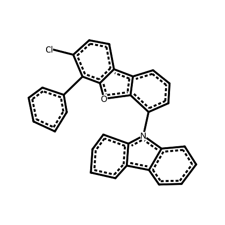 Clc1ccc2c(oc3c(-n4c5ccccc5c5ccccc54)cccc32)c1-c1ccccc1